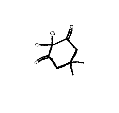 CC1(C)CC(=O)C(Cl)(Cl)C(=O)C1